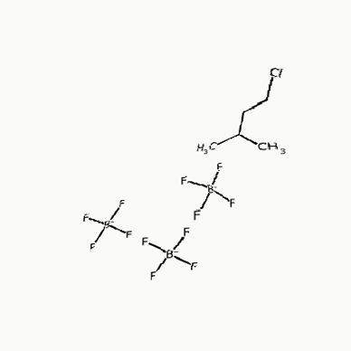 CC(C)CCCl.F[B-](F)(F)F.F[B-](F)(F)F.F[B-](F)(F)F